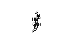 O=C(NC1CCC(Nc2cccc3nc(C(F)F)cn23)CC1)c1cc2cc(F)ccc2o1